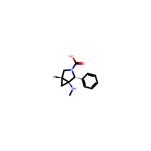 CN[C@@]12C[C@@H]1CN(C(=O)O)[C@@H]2c1ccccc1